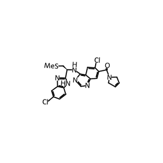 CSC[C@@H](Nc1ncnc2cc(C(=O)N3CC=CC3)c(Cl)cc12)c1nc2cc(Cl)ccc2[nH]1